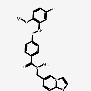 COc1ccc(Cl)cc1NSc1ccc(C(=O)N(N)CC2=CN3C=CNC3C=C2)cc1